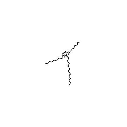 CCCCCCCCCCCCc1n(CCCCCCC)cc[n+]1CCCCCCCC